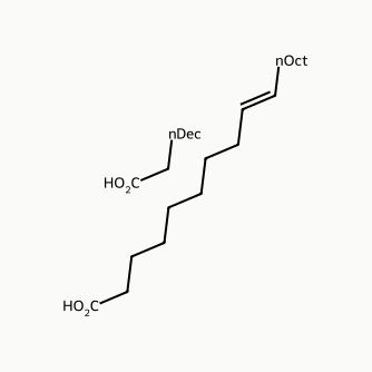 CCCCCCCCC=CCCCCCCCC(=O)O.CCCCCCCCCCCC(=O)O